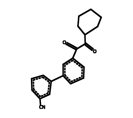 N#Cc1cccc(-c2cccc(C(=O)C(=O)C3CCCCC3)c2)c1